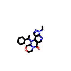 CCn1ncc2c(NC(C)C3CCCCC3)c(C(=O)N3CCOCC3)cnc21